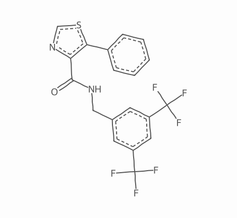 O=C(NCc1cc(C(F)(F)F)cc(C(F)(F)F)c1)c1ncsc1-c1ccccc1